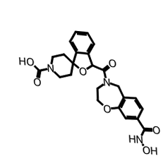 O=C(NO)c1ccc2c(c1)OCCN(C(=O)C1OC3(CCN(C(=O)O)CC3)c3ccccc31)C2